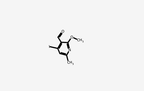 COc1nc(C)cc(I)c1C=O